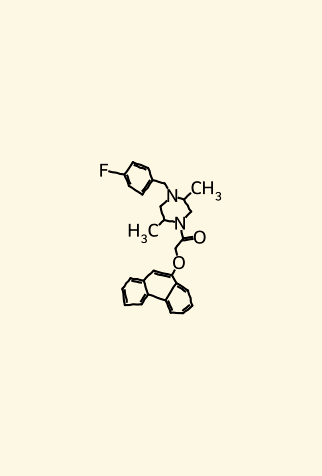 CC1CN(C(=O)COc2cc3ccccc3c3ccccc23)C(C)CN1Cc1ccc(F)cc1